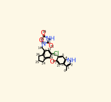 Cc1c[nH]c2ccc(Oc3c(Cl)cc(Cn4oc(=O)[nH]c4=O)c4c3CCC4)cc12